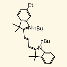 CCCCN1C(=CC=CC2=[N+](CCCC)c3cc(CC)ccc3C2(C)C)C(C)(C)c2ccccc21